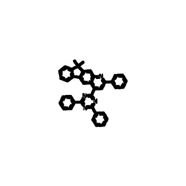 CC1(C)c2ccccc2-c2cc3c(-c4nc(-c5ccccc5)nc(-c5ccccc5)n4)cc(-c4ccccc4)nc3cc21